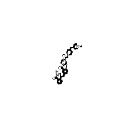 O=C(CN1CCC(CC2CCNCC2)CC1)N1CCN(C(=O)c2cc(Cc3n[nH]c(=O)c4ccccc34)ccc2F)CC1